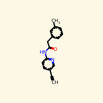 C#Cc1ccc(NC(=O)Cc2cccc(C)c2)nc1